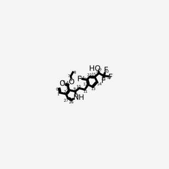 C=CC1=C(C(=O)OCC)C(CCc2ccc(C(O)C(F)(F)F)cc2F)NC=C1